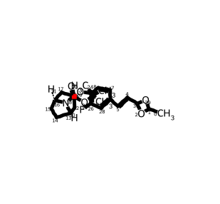 CC1OC(/C=C/c2ccc(O[C@H]3C[C@H]4CC[C@@H](C3)N4C(=O)OC(C)(C)C)c(F)c2)O1